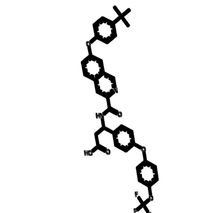 CC(C)(C)c1ccc(Oc2ccc3cc(C(=O)NC(CC(=O)O)c4ccc(Oc5ccc(OC(F)(F)F)cc5)cc4)ncc3c2)cc1